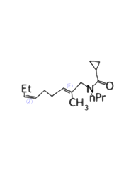 CC/C=C\CC/C=C(\C)CN(CCC)C(=O)C1CC1